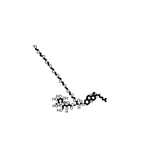 COCCOCCOCCOCCOCCOCCOCCOCCOCCOCCOCCOC(=O)[C@H](COC(=O)[C@@H](O)[C@@H](O)[C@H](O[C@@H]1O[C@H](CO)[C@H](O)[C@H](O)[C@H]1O)[C@H](O)CO)NC(=O)O[C@@H]1CC[C@@]2(C)C(=CC[C@H]3[C@@H]4CC[C@H]([C@H](C)CCCC(C)C)[C@@]4(C)CC[C@@H]32)C1